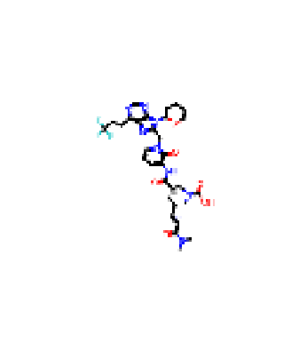 CN(C)C(=O)/C=C/CC[C@@H](CN(C)C(=O)O)C(=O)Nc1cccn(Cc2nc3c(CCC(F)(F)F)ncnc3n2C2CCCCO2)c1=O